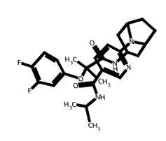 CC(C)NC(=O)c1ccc(N2C3CCC2CC(NC(=O)C(C)(C)Oc2ccc(F)c(F)c2)C3)nc1